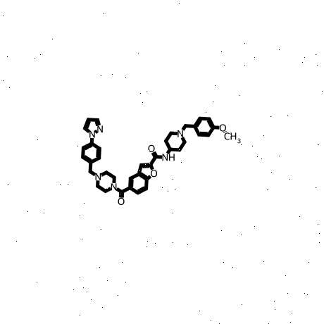 COc1ccc(CN2CCC(NC(=O)c3cc4cc(C(=O)N5CCN(Cc6ccc(-n7cccn7)cc6)CC5)ccc4o3)CC2)cc1